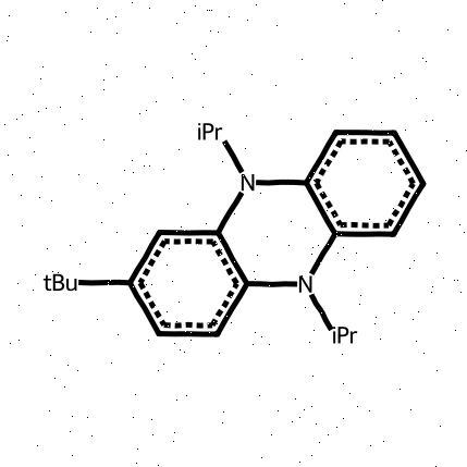 CC(C)N1c2ccccc2N(C(C)C)c2cc(C(C)(C)C)ccc21